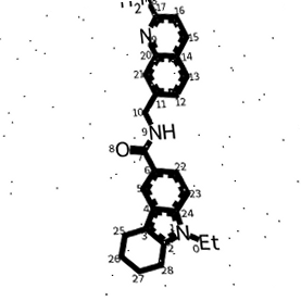 CCn1c2c(c3cc(C(=O)NCc4ccc5ccc(N)nc5c4)ccc31)CCCC2